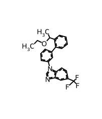 CCOC(C)c1ccccc1-c1cccc(-n2cnc3cc(C(F)(F)F)ccc32)c1